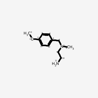 COc1ccc(CN(C)CCN)cc1